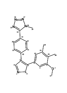 COc1cc(-c2sncc2-c2ccc(-c3nnnn3C)cc2)cc(C)c1C